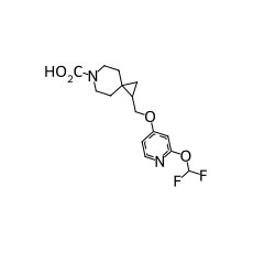 O=C(O)N1CCC2(CC1)CC2COc1ccnc(OC(F)F)c1